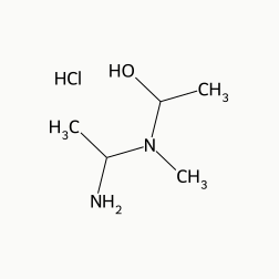 CC(N)N(C)C(C)O.Cl